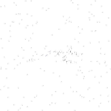 CCCCCCCCCCC\C=C/C=C\C=C/C=CC(=O)OC(COC(=O)CCCCCCCCC)COC(=O)CCCCCCCCC